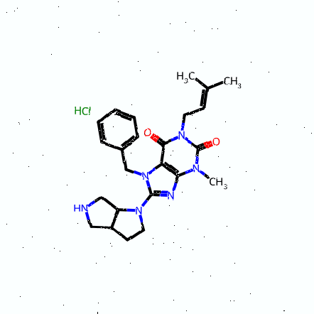 CC(C)=CCn1c(=O)c2c(nc(N3CCC4CNCC43)n2Cc2ccccc2)n(C)c1=O.Cl